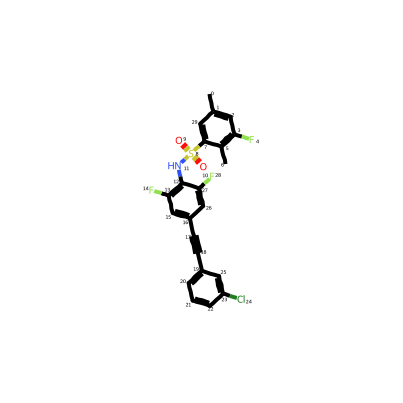 Cc1cc(F)c(C)c(S(=O)(=O)Nc2c(F)cc(C#Cc3cccc(Cl)c3)cc2F)c1